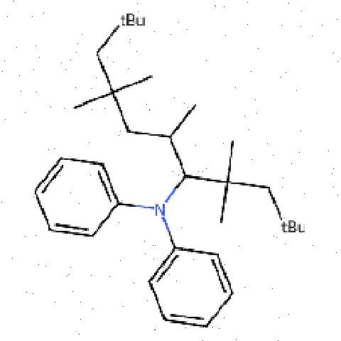 CC(CC(C)(C)CC(C)(C)C)C(N(c1ccccc1)c1ccccc1)C(C)(C)CC(C)(C)C